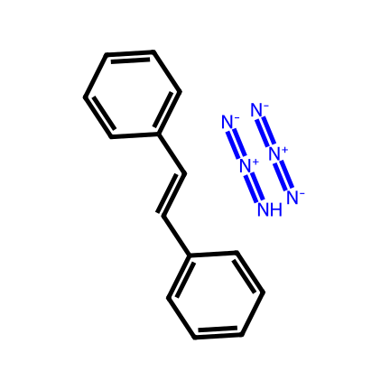 C(=Cc1ccccc1)c1ccccc1.[N-]=[N+]=N.[N-]=[N+]=[N-]